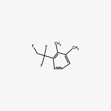 Cc1cc[c]c(C(F)(F)CF)c1C